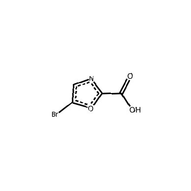 O=C(O)c1ncc(Br)o1